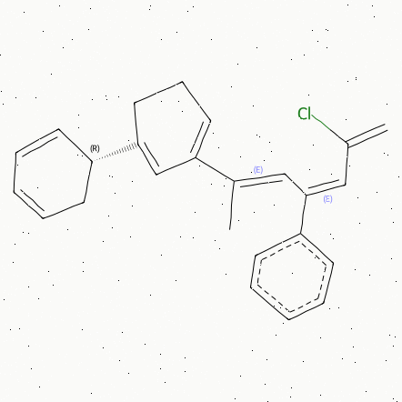 C=C(Cl)/C=C(\C=C(/C)C1=CCCC([C@H]2C=CC=CC2)=C1)c1ccccc1